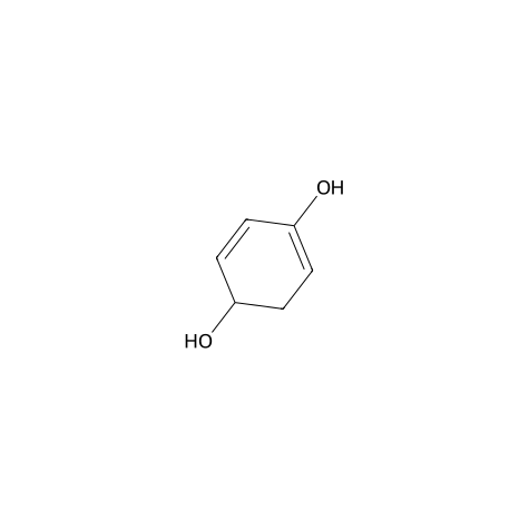 OC1=CCC(O)C=C1